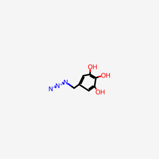 [N-]=[N+]=NCc1cc(O)c(O)c(O)c1